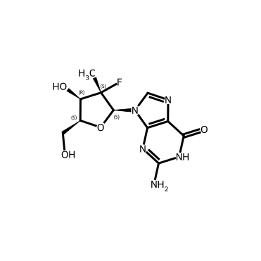 C[C@]1(F)[C@H](O)[C@H](CO)O[C@@H]1n1cnc2c(=O)[nH]c(N)nc21